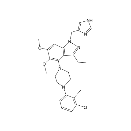 CCc1nn(Cc2c[nH]cn2)c2cc(OC)c(OC)c(N3CCN(c4cccc(Cl)c4C)CC3)c12